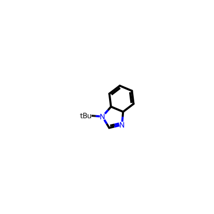 CC(C)(C)N1C=NC2C=CC=CC21